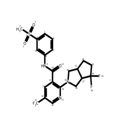 CS(=O)(=O)c1cccc(NC(=O)c2cc(C(F)(F)F)cnc2N2CC3CCC(F)(F)C3C2)c1